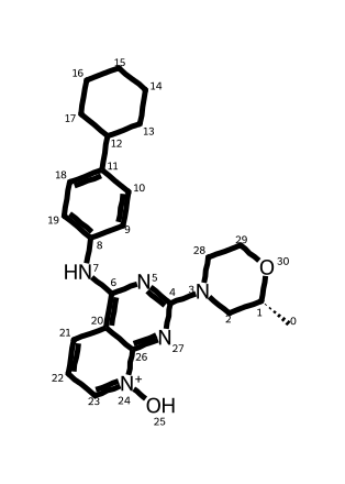 C[C@@H]1CN(c2nc(Nc3ccc(C4CCCCC4)cc3)c3ccc[n+](O)c3n2)CCO1